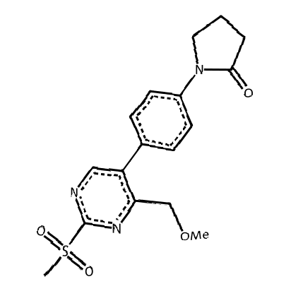 COCc1nc(S(C)(=O)=O)ncc1-c1ccc(N2CCCC2=O)cc1